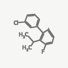 CC(C)c1c(-c2cccc(Cl)c2)[c]ccc1F